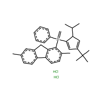 Cl.Cl.[CH2]=[Zr]([C]1=CC(C(C)(C)C)=CC1C(C)C)([c]1ccccc1)[c]1c(C)ccc2c1Cc1cc(C)ccc1-2